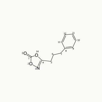 O=c1onc(CCCc2ccccc2)o1